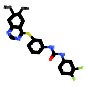 COc1cc2ncnc(Sc3cccc(NC(=O)Nc4ccc(F)c(F)c4)c3)c2cc1OC